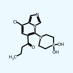 CCCC(=O)c1cc(Cl)c2cncn2c1N1CCS(O)(O)CC1